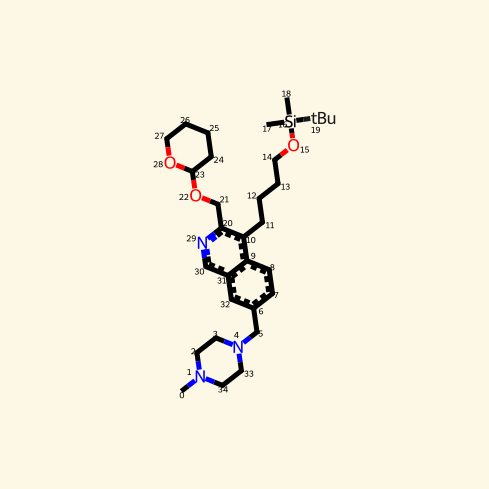 CN1CCN(Cc2ccc3c(CCCCO[Si](C)(C)C(C)(C)C)c(COC4CCCCO4)ncc3c2)CC1